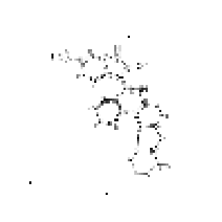 CC1CCCC(C)N1Cc1ccc(N/C(=C2\C(=O)Nc3cc(C(=O)O)ccc32)c2ccccc2)cc1